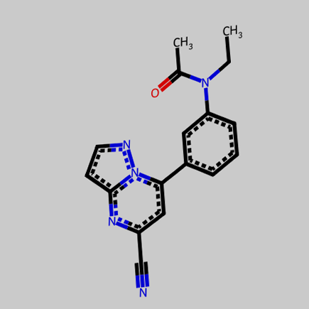 CCN(C(C)=O)c1cccc(-c2cc(C#N)nc3ccnn23)c1